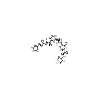 O=C(CN1CCN(C(=O)OCc2ccccc2)CC1=O)Nc1cccc(C(=O)NCC(=O)OCc2ccccc2)c1